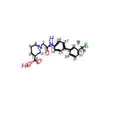 O=C(CN1CCCC(C(=O)O)C1)Nc1ccc(-c2cccc(C(F)(F)F)c2)cc1